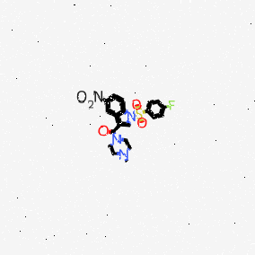 CN1CCN(C(=O)c2cn(S(=O)(=O)c3ccc(F)cc3)c3ccc([N+](=O)[O-])cc23)CC1